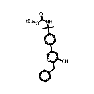 CC(C)(C)OC(=O)NC(C)(C)c1ccc(-c2cnc(Cc3ccccc3)c(C#N)c2)cc1